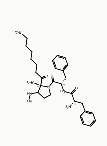 N[C@@H](Cc1ccccc1)C(=O)N[C@@H](Cc1ccccc1)C(=O)N1CCC(NO)[C@]1([C]=O)C(=O)CCCCCCC=O